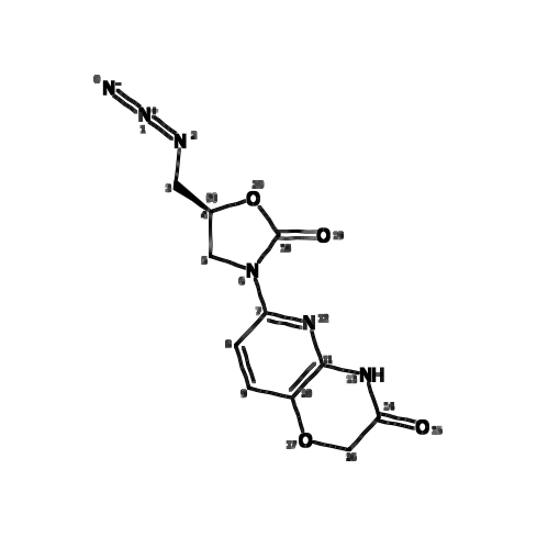 [N-]=[N+]=NC[C@@H]1CN(c2ccc3c(n2)NC(=O)CO3)C(=O)O1